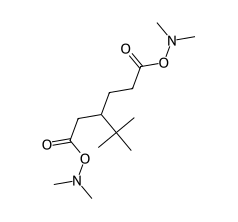 CN(C)OC(=O)CCC(CC(=O)ON(C)C)C(C)(C)C